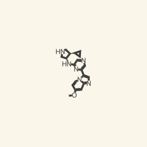 COc1ccn2c(-c3cncc(N[C@H]4CNC[C@H]4C4CC4)n3)cnc2c1